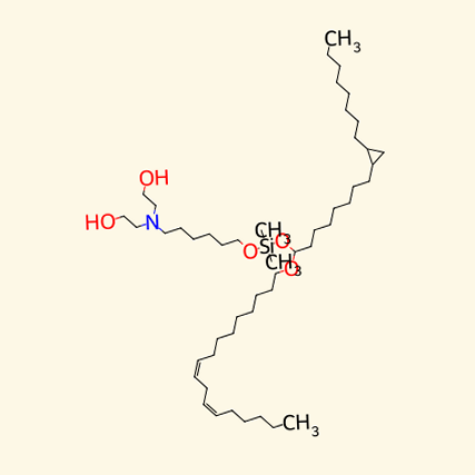 CCCCC/C=C\C/C=C\CCCCCCCCOC(CCCCCCCC1CC1CCCCCCCC)O[Si](C)(C)OCCCCCCN(CCO)CCO